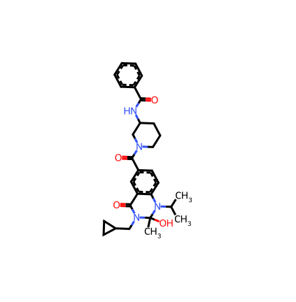 CC(C)N1c2ccc(C(=O)N3CCCC(NC(=O)c4ccccc4)C3)cc2C(=O)N(CC2CC2)C1(C)O